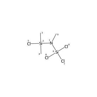 CN([Si](C)(C)Cl)[Si](Cl)(Cl)Cl